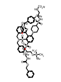 COc1ccc(CN(Cc2ccc(OC)cc2)S(=O)(=O)c2c(S(=O)(=O)N[C@@H](CNC(=O)OCc3ccccc3)CO[Si](C)(C)C(C)(C)C)ccc(N3CCC(S(=O)(=O)NCCNC(=O)O)CC3)c2-c2nnn(Cc3ccc(OC)cc3)n2)cc1